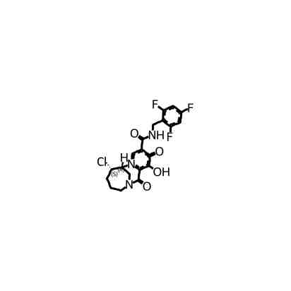 O=C(NCc1c(F)cc(F)cc1F)c1cn2c(c(O)c1=O)C(=O)N1CCC[C@H](Cl)[C@H]2C1